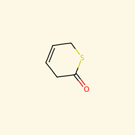 O=C1CC=CCS1